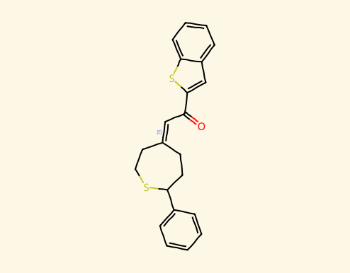 O=C(/C=C1/CCSC(c2ccccc2)CC1)c1cc2ccccc2s1